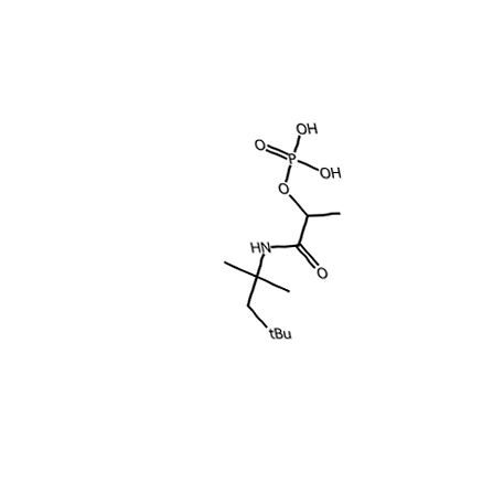 CC(OP(=O)(O)O)C(=O)NC(C)(C)CC(C)(C)C